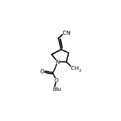 CC1CC(=CC#N)CN1C(=O)OC(C)(C)C